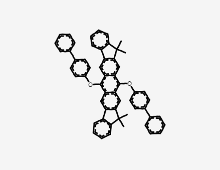 CC1(C)c2ccccc2-c2cc3c(Oc4ccc(-c5ccccc5)cc4)c4cc5c(cc4c(Oc4ccc(-c6ccccc6)cc4)c3cc21)C(C)(C)c1ccccc1-5